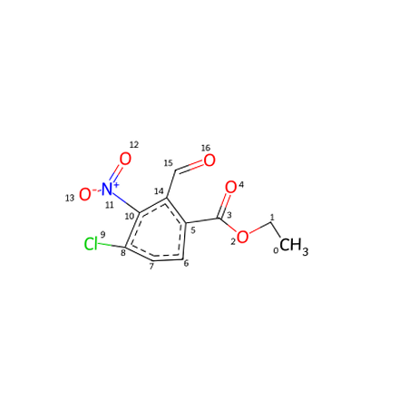 CCOC(=O)c1ccc(Cl)c([N+](=O)[O-])c1C=O